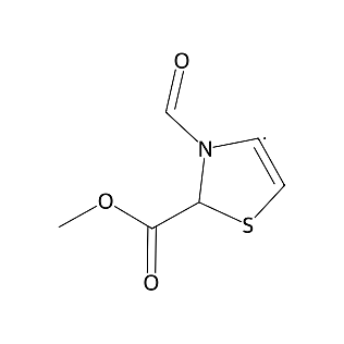 COC(=O)C1SC=[C]N1C=O